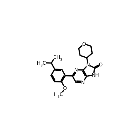 COc1ccc(C(C)C)cc1-c1cnc2[nH]c(=O)n(C3CCOCC3)c2n1